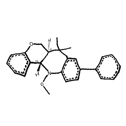 CON1c2ccc(-c3ccccc3)cc2C(C)(C)[C@@H]2COc3ccccc3[C@H]21